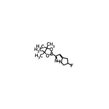 CC1(C)OB(c2cc3n(n2)CC(F)C3)OC1(C)C